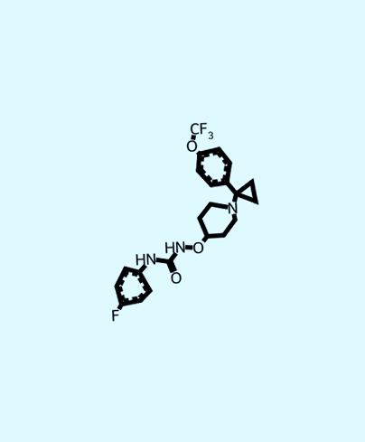 O=C(NOC1CCN(C2(c3ccc(OC(F)(F)F)cc3)CC2)CC1)Nc1ccc(F)cc1